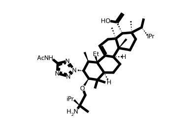 C=C(O)[C@@H]1[C@@](C)([C@H](C)C(C)C)CC[C@]2(C)[C@H]3CC[C@H]4C(C)(C)[C@@H](OC[C@](C)(N)C(C)C)[C@H](n5nnc(NC(C)=O)n5)[C@@H](C)[C@]4(CC)C3=CC[C@@]12C